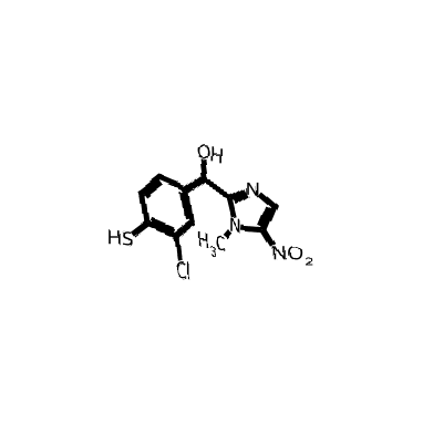 Cn1c([N+](=O)[O-])cnc1C(O)c1ccc(S)c(Cl)c1